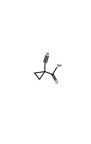 N#CC1(C(=O)S)CC1